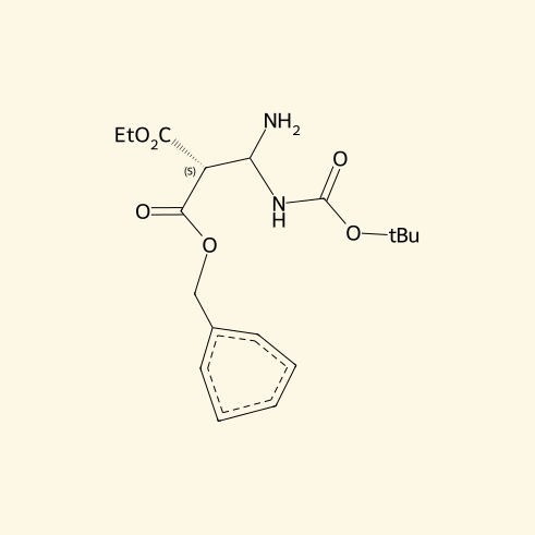 CCOC(=O)[C@@H](C(=O)OCc1ccccc1)C(N)NC(=O)OC(C)(C)C